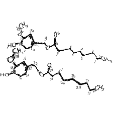 CCCCCCCCC(=O)OCc1ccc(O)c(OC)c1.CCCCCCCCC(=O)OCc1ccc(O)c(OC)c1